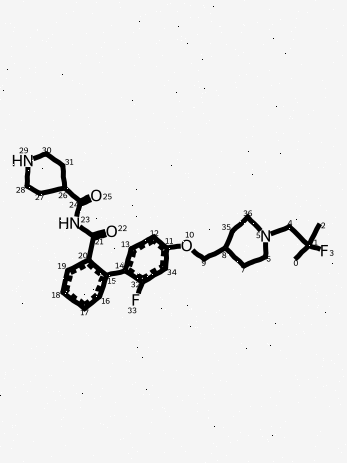 CC(C)(F)CN1CCC(COc2ccc(-c3ccccc3C(=O)NC(=O)C3CCNCC3)c(F)c2)CC1